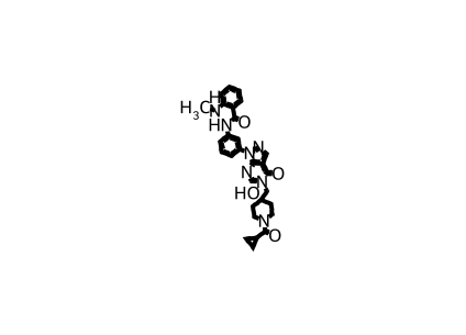 CNc1ccccc1C(=O)Nc1cccc(-n2ncc3c(=O)n(CC4(O)CCN(C(=O)C5CC5)CC4)cnc32)c1